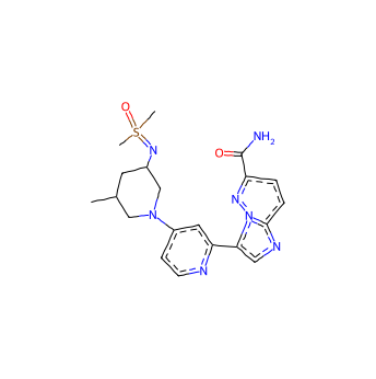 CC1CC(N=S(C)(C)=O)CN(c2ccnc(-c3cnc4ccc(C(N)=O)nn34)c2)C1